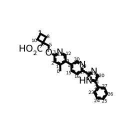 Cc1cc(OCC2(C(=O)O)CCC2)ncc1-c1ccc(-c2ncc(-c3ccccc3)[nH]2)nc1